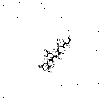 CC[C@H](C)[C@@H](N)C(=O)N(C)[C@@H](C)C(=O)N(C)[C@@H](CC(C)C)C(=O)N[C@@H](CC(C)C)C(=O)OC